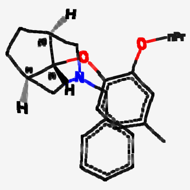 CCCOc1cc(C)ccc1O[C@@H]1[C@@H]2CC[C@H]1CN(Cc1ccccc1)C2